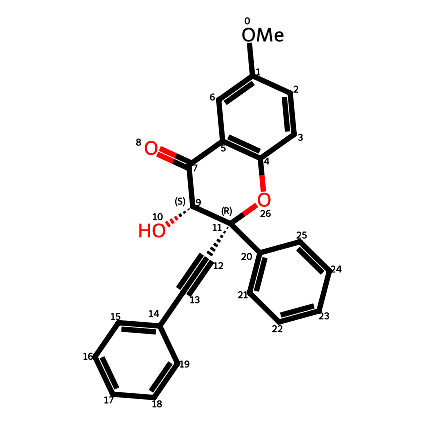 COc1ccc2c(c1)C(=O)[C@@H](O)[C@](C#Cc1ccccc1)(c1ccccc1)O2